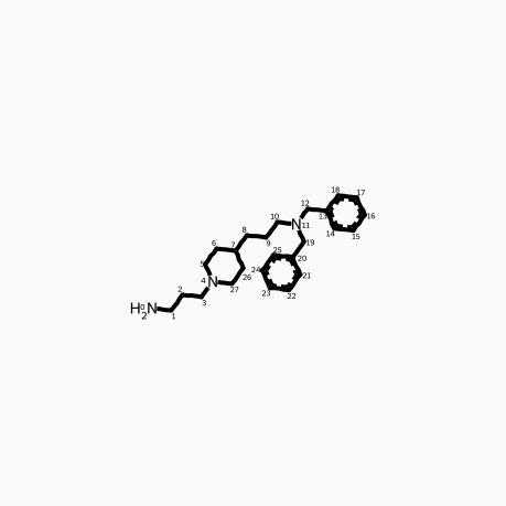 NCCCN1CCC(CCCN(Cc2ccccc2)Cc2ccccc2)CC1